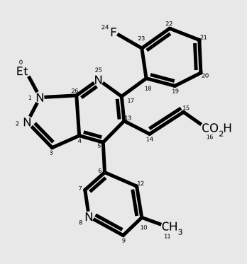 CCn1ncc2c(-c3cncc(C)c3)c(C=CC(=O)O)c(-c3ccccc3F)nc21